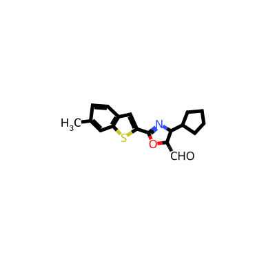 Cc1ccc2cc(C3=NC(C4CCCC4)C(C=O)O3)sc2c1